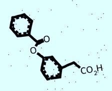 O=C(O)Cc1cccc(OC(=O)c2ccccc2)c1